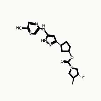 N#Cc1cnc(Nc2cc([C@H]3CC[C@@H](OC(=O)N4C[C@H](F)[C@@H](F)C4)C3)n[nH]2)cn1